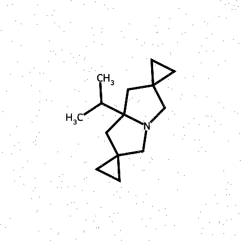 CC(C)C12CC3(CC3)CN1CC1(CC1)C2